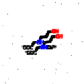 O=C([O-])CNCCCO.O=C([O-])CNCCCO.[Ca+2]